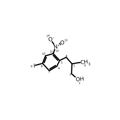 CC(CO)Cc1ccc(I)cc1[N+](=O)[O-]